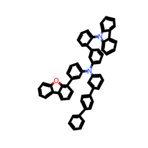 c1ccc(-c2ccc(-c3cccc(N(c4cccc(-c5ccccc5-n5c6ccccc6c6ccccc65)c4)c4cccc(-c5cccc6c5oc5ccccc56)c4)c3)cc2)cc1